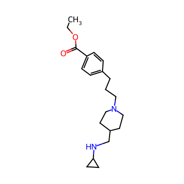 CCOC(=O)c1ccc(CCCN2CCC(CNC3CC3)CC2)cc1